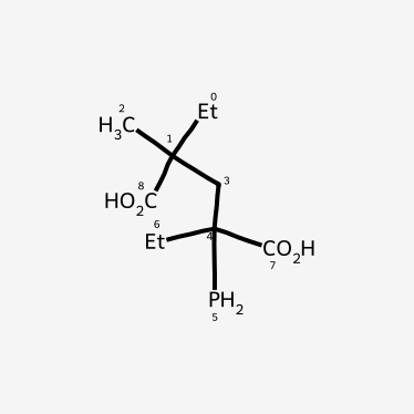 CCC(C)(CC(P)(CC)C(=O)O)C(=O)O